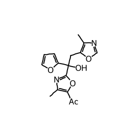 CC(=O)c1oc(C(O)(Cc2ocnc2C)c2ccco2)nc1C